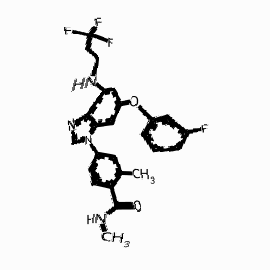 CNC(=O)c1ccc(-n2cnc3c(NCCC(F)(F)F)cc(Oc4cccc(F)c4)cc32)cc1C